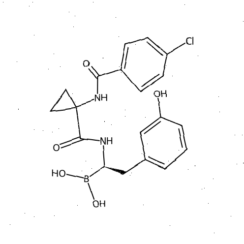 O=C(NC1(C(=O)N[C@@H](Cc2cccc(O)c2)B(O)O)CC1)c1ccc(Cl)cc1